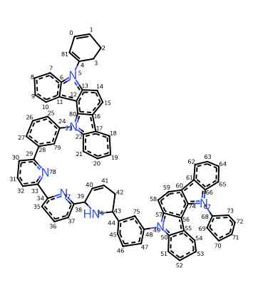 C1=CCCC(n2c3ccccc3c3c2ccc2c4ccccc4n(-c4cccc(-c5cccc(-c6cccc(C7C=CCC(c8cccc(-n9c%10ccccc%10c%10c9ccc9c%11ccccc%11n(-c%11ccccc%11)c9%10)c8)N7)n6)n5)c4)c23)=C1